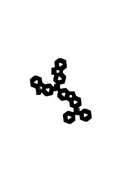 c1ccc(N(c2ccccc2)c2ccc3c(c2)-c2ccc(N(c4ccc5c(c4)sc4ccccc45)c4ccc5sc6ccccc6c5c4)cc2C3)cc1